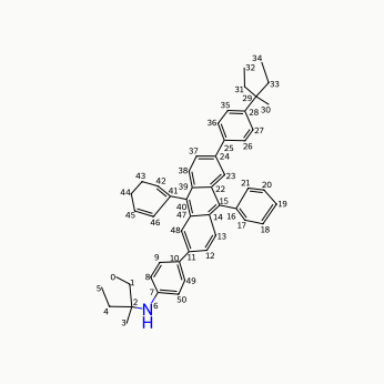 CCC(C)(CC)Nc1ccc(-c2ccc3c(-c4ccccc4)c4cc(-c5ccc(C(C)(CC)CC)cc5)ccc4c(C4=CCCC=C4)c3c2)cc1